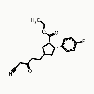 CCOC(=O)[C@@H]1CC(CCC(=O)CC#N)C[C@H]1c1ccc(F)cc1